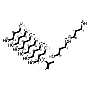 C=C(C)C(=O)O.OCCCO.OCCCO.OCCCO.OCCCO.OCCCO.OCCCO.OCCCO.OCCCO